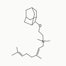 CC(C)=CCC/C(C)=C/C[N+](C)(C)CCOC1C2CC3CC(C2)CC1C3